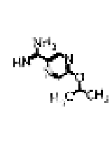 CC(C)Oc1cnc(C(=N)N)cn1